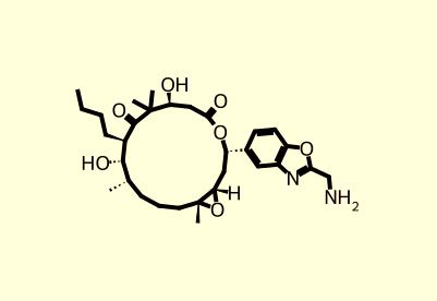 CCCC[C@H]1C(=O)C(C)(C)[C@@H](O)CC(=O)O[C@H](c2ccc3oc(CN)nc3c2)C[C@@H]2O[C@]2(C)CCC[C@H](C)[C@@H]1O